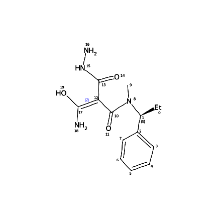 CC[C@@H](c1ccccc1)N(C)C(=O)/C(C(=O)NN)=C(\N)O